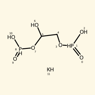 O=[PH](O)OCC(O)O[PH](=O)O.[KH]